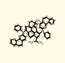 CC(C)c1cc(N(c2ccccc2)c2ccc3ccc4cccnc4c3n2)c2cc3c4c(cc(N(c5ccccc5)c5ccc6ccc7cccnc7c6n5)c5ccc1c2c54)CCC3(C)C